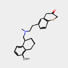 COc1cccc2c1CCCC2CN(C)CCc1ccc2c(c1)CC(=O)CS2